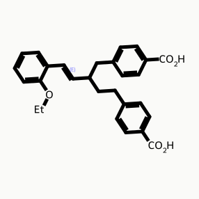 CCOc1ccccc1/C=C/C(CCc1ccc(C(=O)O)cc1)Cc1ccc(C(=O)O)cc1